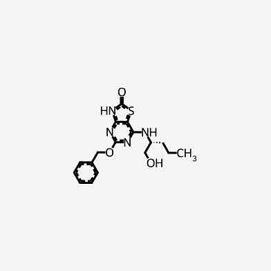 CCC[C@H](CO)Nc1nc(OCc2ccccc2)nc2[nH]c(=O)sc12